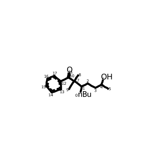 CCCCC(CCC(C)O)C(C)(C)C(=O)c1ccccc1